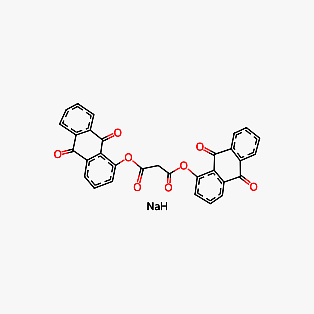 O=C(CC(=O)Oc1cccc2c1C(=O)c1ccccc1C2=O)Oc1cccc2c1C(=O)c1ccccc1C2=O.[NaH]